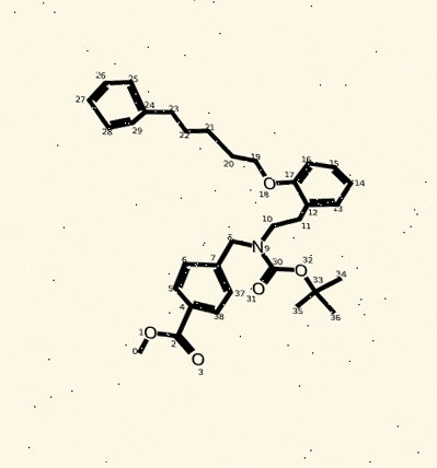 COC(=O)c1ccc(CN(CCc2ccccc2OCCCCCc2ccccc2)C(=O)OC(C)(C)C)cc1